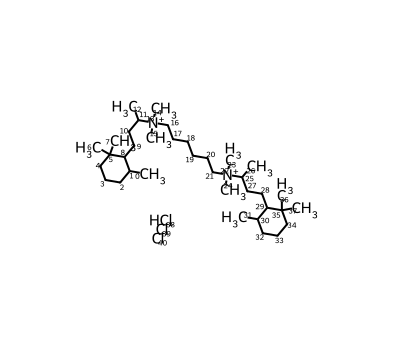 CC1CCCC(C)(C)C1CCC(C)[N+](C)(C)CCCCCC[N+](C)(C)C(C)CCC1C(C)CCCC1(C)C.Cl.[Cl-].[Cl-]